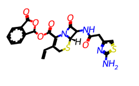 C=CC1=C(C(=O)OC2OC(=O)c3ccccc32)N2C(=O)C(NC(=O)Cc3csc(N)n3)[C@@H]2SC1